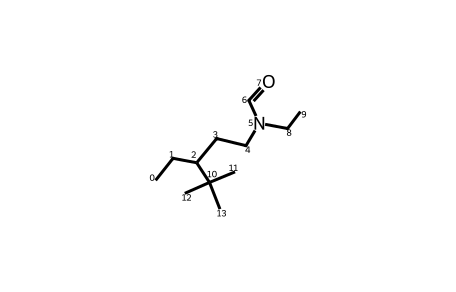 CCC(CCN(C=O)CC)C(C)(C)C